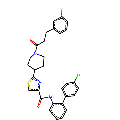 O=C(Nc1ccccc1-c1ccc(Cl)cc1)c1csc(C2CCN(C(=O)CCc3cccc(Cl)c3)CC2)n1